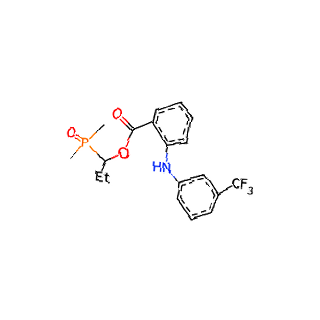 CCC(OC(=O)c1ccccc1Nc1cccc(C(F)(F)F)c1)P(C)(C)=O